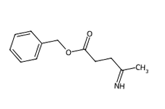 CC(=N)CCC(=O)OCc1ccccc1